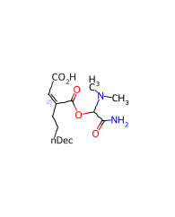 CCCCCCCCCCCC/C(=C/C(=O)O)C(=O)OC(C(N)=O)N(C)C